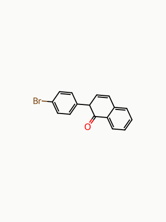 O=C1c2ccccc2C=CC1c1ccc(Br)cc1